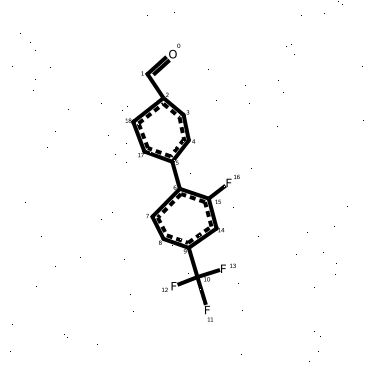 O=Cc1ccc(-c2ccc(C(F)(F)F)cc2F)cc1